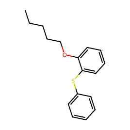 CCCCCOc1c[c]ccc1Sc1ccccc1